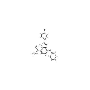 Cc1ccc(-c2cc3c(Cc4ccncc4)nnc(C(N)=O)c3s2)cc1